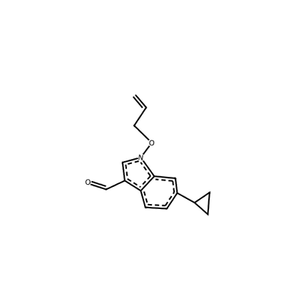 C=CCOn1cc(C=O)c2ccc(C3CC3)cc21